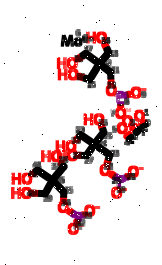 [C]=O.[C]=O.[C]=O.[Mo+6].[O-]P([O-])OCC(CO)(CO)CO.[O-]P([O-])OCC(CO)(CO)CO.[O-]P([O-])OCC(CO)(CO)CO